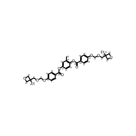 CCC1(COCOc2ccc(C(=O)Oc3ccc(OC(=O)c4ccc(OCOCC5(CC)COC5)cc4)c(C)c3)cc2)COC1